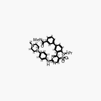 CCCN1c2ccc(-c3cccc(C(=O)NC)c3)cc2-c2nc(Nc3ccc(N4CCN(C)CC4)cc3)ncc2S1(=O)=O